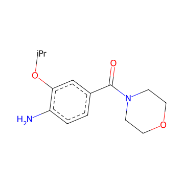 CC(C)Oc1cc(C(=O)N2CCOCC2)ccc1N